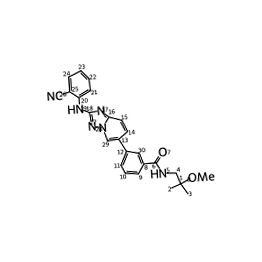 COC(C)(C)CNC(=O)c1cccc(-c2ccc3nc(Nc4ccccc4C#N)nn3c2)c1